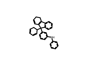 C1=CCC(C2(c3cccc(Nc4ccccc4)c3)C3=C(CCC=C3)c3ccccc32)C=C1